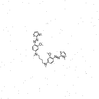 COc1cc(N(C)CCCCN(C)c2ccc(/N=N/c3scc[n+]3C)c(OC)c2)ccc1/N=N/c1scc[n+]1C